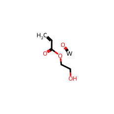 C=CC(=O)OCCO.[O]=[W]